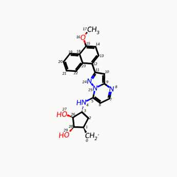 [CH2][C@@H]1C[C@@H](Nc2ccnc3cc(-c4ccc(OC)c5ccccc45)nn23)[C@H](O)[C@@H]1O